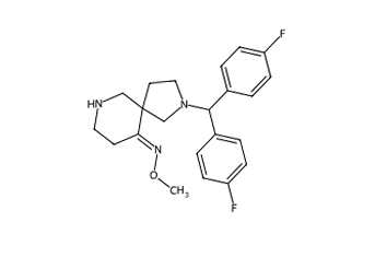 CO/N=C1\CCNCC12CCN(C(c1ccc(F)cc1)c1ccc(F)cc1)C2